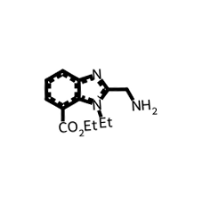 CCOC(=O)c1cccc2nc(CN)n(CC)c12